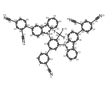 N#Cc1cccc(-c2cc(-n3c4ccccc4c4cc(-c5ccc(C#N)cc5C#N)ccc43)c(C(F)(F)F)c(-n3c4ccccc4c4cc(-c5ccc(C#N)cc5C#N)ccc43)c2)c1